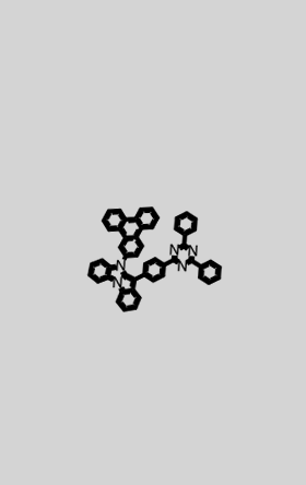 c1ccc(-c2nc(-c3ccccc3)nc(-c3ccc(-c4c5ccccc5n5c6ccccc6n(-c6ccc7c8ccccc8c8ccccc8c7c6)c45)cc3)n2)cc1